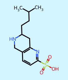 CC(C)CCC1Cc2nc(S(=O)(=O)O)ccc2CN1